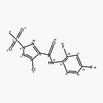 CS(=O)(=O)n1nc(Cl)c(C(=O)Nc2ccc(F)cc2F)n1